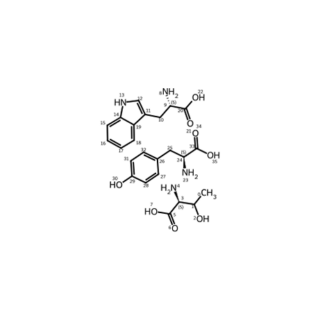 CC(O)[C@H](N)C(=O)O.N[C@@H](Cc1c[nH]c2ccccc12)C(=O)O.N[C@@H](Cc1ccc(O)cc1)C(=O)O